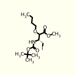 CCCCOC(C(=O)OC)[C@H](CI)NC(=O)OC(C)(C)C